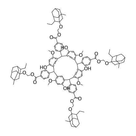 CCC1C2CC3CC(C)(C2)CC1(OCOC(=O)c1ccc(C2c4cc(c(OC)cc4O)C(c4ccc(C(=O)OCOC56CC7CC(CC(C)(C7)C5)C6CC)cc4)c4cc(c(OC)cc4O)C(c4ccc(C(=O)OCOC56CC7CC(CC(C)(C7)C5)C6CC)cc4)c4cc(c(OC)cc4O)C(c4ccc(C(=O)OCOC56CC7CC(CC(C)(C7)C5)C6CC)cc4)c4cc2c(OC)cc4O)cc1)C3